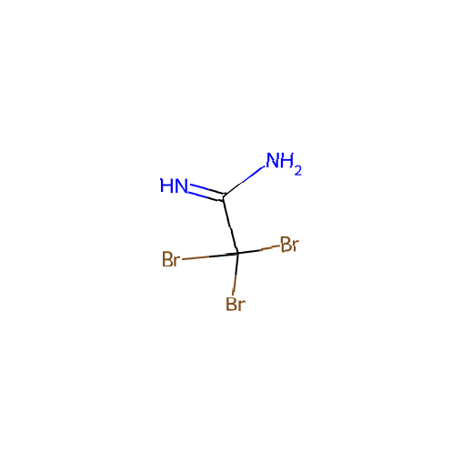 N=C(N)C(Br)(Br)Br